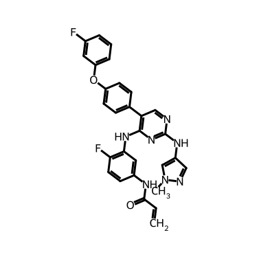 C=CC(=O)Nc1ccc(F)c(Nc2nc(Nc3cnn(C)c3)ncc2-c2ccc(Oc3cccc(F)c3)cc2)c1